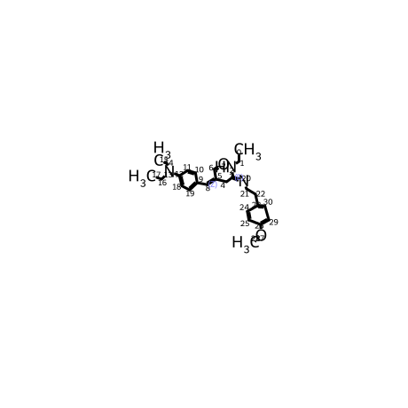 CCN/C(C/C(C=O)=C/c1ccc(N(CC)CC)cc1)=N/CCc1ccc(OC)cc1